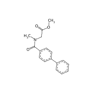 COC(=O)CN(C)C(=O)c1ccc(-c2ccccc2)cc1